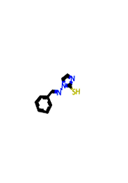 Sc1nccn1N=Cc1ccccc1